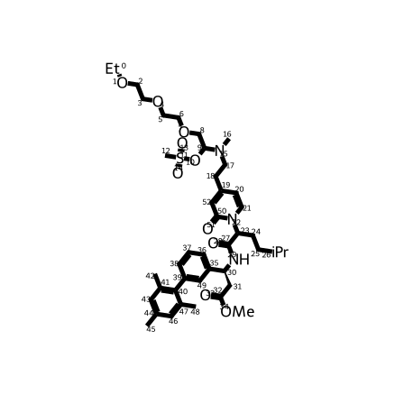 CCOCCOCCOCC(OS(C)(=O)=O)N(C)CCc1ccn(C(CCC(C)C)C(=O)N[C@@H](CC(=O)OC)c2cccc(-c3c(C)cc(C)cc3C)c2)c(=O)c1